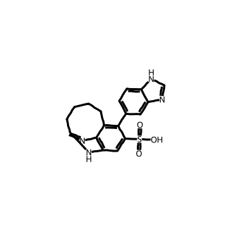 O=S(=O)(O)c1cc2[nH]c3nc2c(c1-c1ccc2[nH]cnc2c1)CCCC3